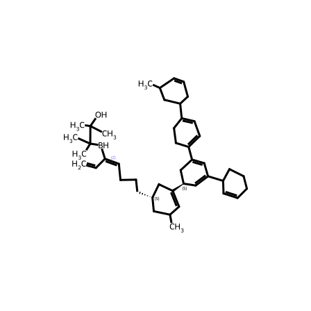 C=C/C(BC(C)(C)C(C)(C)O)=C\CCC[C@@H]1CC([C@@H]2C=C(C3C=CCCC3)C=C(C3=CC=C(C4CC=CC(C)C4)CC3)C2)=CC(C)C1